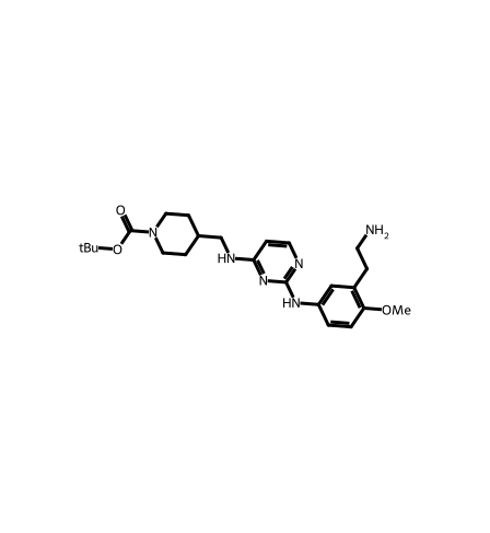 COc1ccc(Nc2nccc(NCC3CCN(C(=O)OC(C)(C)C)CC3)n2)cc1CCN